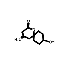 C=C1CC(=O)OC2(CCC(O)CC2)C1